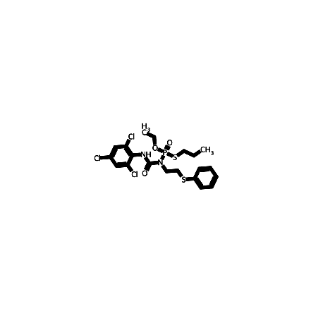 CCCSP(=O)(OCC)N(CCSc1ccccc1)C(=O)Nc1c(Cl)cc(Cl)cc1Cl